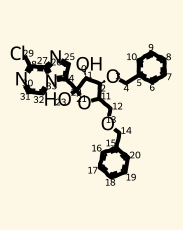 O[C@@H]1[C@H](OCc2ccccc2)C(COCc2ccccc2)OC1(O)c1cnc2c(Cl)nccn12